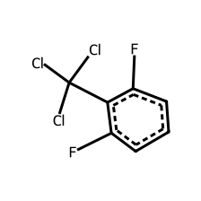 Fc1cccc(F)c1C(Cl)(Cl)Cl